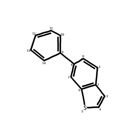 [c]1cc2ccsc2cc1-c1ccccc1